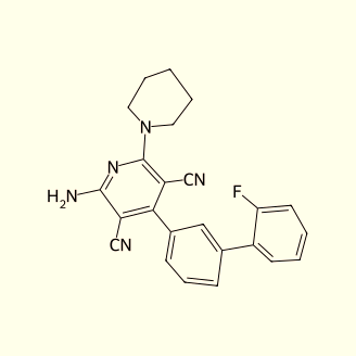 N#Cc1c(N)nc(N2CCCCC2)c(C#N)c1-c1cccc(-c2ccccc2F)c1